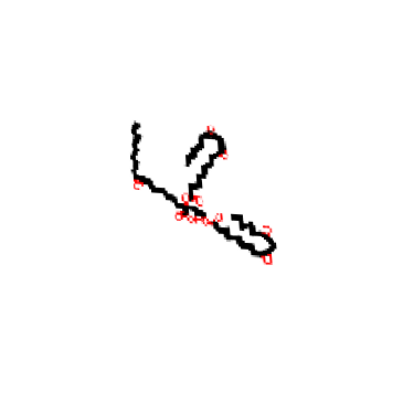 CCCCCCCCC1OC1CCCCCCC(CCCOC(=O)CCCCCCCC1OC1CC1OC1CCCCC)(OC(=O)CCCCCCCC1OC1CC1OC1CCCCCC)C(=O)O